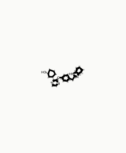 O[C@@H]1CCC[C@H](c2nccnc2Oc2ccc(Cc3nc4ccccc4[nH]3)cc2)C1